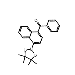 CC1(C)OB(c2ccc(C(=O)c3ccccc3)c3ccccc23)OC1(C)C